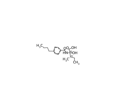 CCCCc1ccc(C(=O)N[C@](O)(C(=O)O)[C@@H](C)CC)cc1